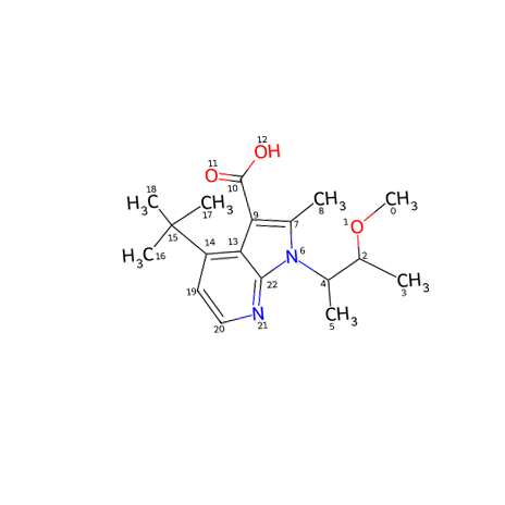 COC(C)C(C)n1c(C)c(C(=O)O)c2c(C(C)(C)C)ccnc21